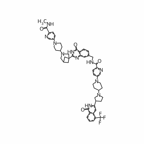 CNC(=O)c1ccc(N2CCC(N3CC4CC(c5nc6cc(CNC(=O)c7ccc(N8CCC(N9CCC(c%10cc%11c(C(F)(F)F)cccc%11c(=O)[nH]%10)C9)CC8)cn7)ccc6c(=O)[nH]5)(C4)C3)CC2)cn1